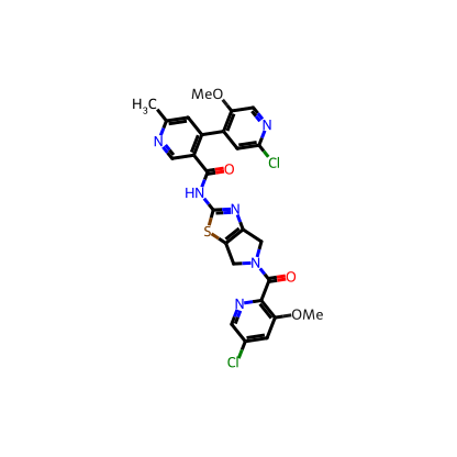 COc1cnc(Cl)cc1-c1cc(C)ncc1C(=O)Nc1nc2c(s1)CN(C(=O)c1ncc(Cl)cc1OC)C2